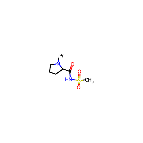 CC(C)N1CCCC1C(=O)NS(C)(=O)=O